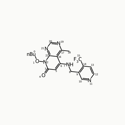 CCCCOn1c(=O)cc(NCc2cnccc2C(F)(F)F)c2c(C)ncnc21